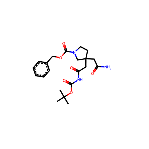 CC(C)(C)OC(=O)NC(=O)CC1(CC(N)=O)CCN(C(=O)OCc2ccccc2)C1